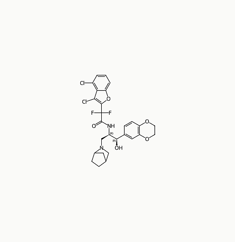 O=C(N[C@H](CN1CC2CCC1C2)[C@H](O)c1ccc2c(c1)OCCO2)C(F)(F)c1oc2cccc(Cl)c2c1Cl